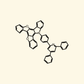 c1ccc(-c2cc(-c3ccccc3)nc(-c3ccc(-n4c5ccccc5c5c6oc7ccccc7c6c6oc7ccccc7c6c54)cc3)c2)cc1